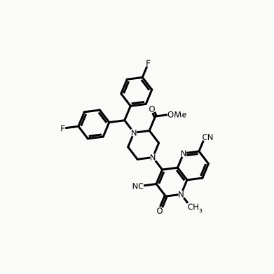 COC(=O)C1CN(c2c(C#N)c(=O)n(C)c3ccc(C#N)nc23)CCN1C(c1ccc(F)cc1)c1ccc(F)cc1